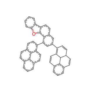 C1=CC2C=Cc3cccc4c3C2C(=C1c1cc(-c2ccc3ccc5cccc6ccc2c3c56)c2c(ccc3c5ccccc5oc32)c1)C=C4